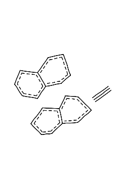 C#C.c1ccc2ccccc2c1.c1ccc2ccccc2c1